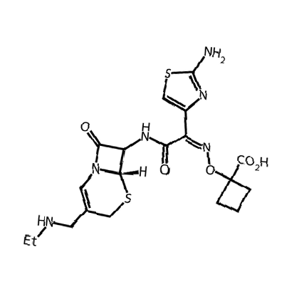 CCNCC1=CN2C(=O)C(NC(=O)/C(=N\OC3(C(=O)O)CCC3)c3csc(N)n3)[C@@H]2SC1